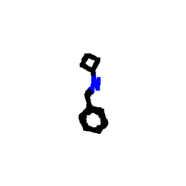 C(=NC1CCC1)c1ccccc1